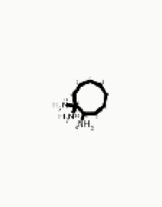 NC1CCCCCCCC1(N)N